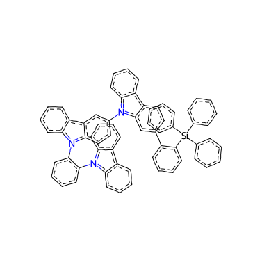 c1ccc([Si](c2ccccc2)(c2ccccc2)c2ccccc2-c2ccc3c4ccccc4n(-c4ccc5c(c4)c4ccccc4n5-c4ccccc4-n4c5ccccc5c5ccccc54)c3c2)cc1